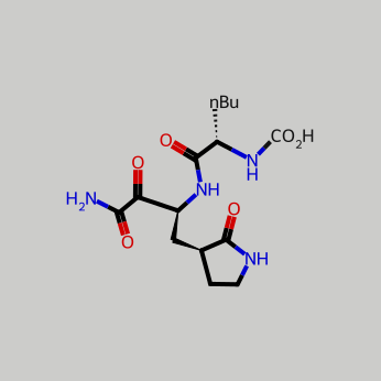 CCCC[C@H](NC(=O)O)C(=O)N[C@@H](C[C@@H]1CCNC1=O)C(=O)C(N)=O